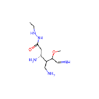 CCNNC(=O)C[C@@H](N)C(CN)C(C=N)OC